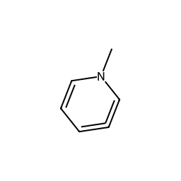 CN1C=C=CC=C1